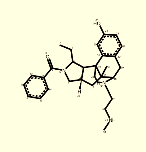 CCC1C2[C@@H](CN1C(=O)c1ccccc1)CC1(C)C3Cc4ccc(O)cc4C21CCN3CCNC